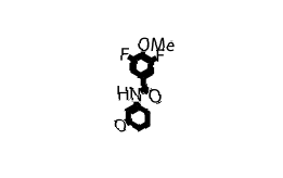 COc1c(F)cc(C(=O)NC2=CC(=O)CCC2)cc1F